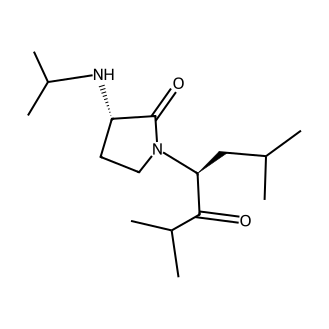 CC(C)C[C@@H](C(=O)C(C)C)N1CC[C@H](NC(C)C)C1=O